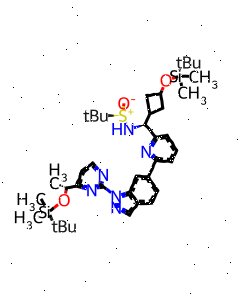 C[C@@H](O[Si](C)(C)C(C)(C)C)c1ccnc(-n2ncc3ccc(-c4cccc([C@@H](N[S@+]([O-])C(C)(C)C)C5CC(O[Si](C)(C)C(C)(C)C)C5)n4)cc32)n1